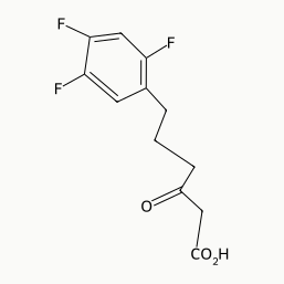 O=C(O)CC(=O)CCCc1cc(F)c(F)cc1F